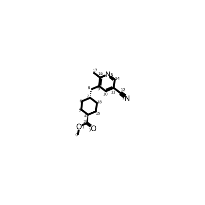 COC(=O)[C@H]1CC[C@H](Cc2cc(C#N)cnc2C)CC1